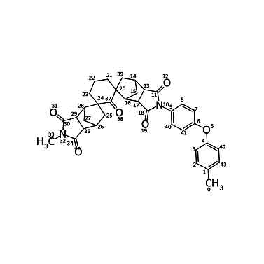 Cc1ccc(Oc2ccc(N3C(=O)C4C5CC(C4C3=O)C3(CCCC4(CC6CC4C4C(=O)N(C)C(=O)C64)C3=O)C5)cc2)cc1